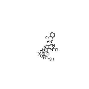 CC1(C)O[C@@H]2[C@H](O1)[C@@H](CS)O[C@H]2n1ncc2c(NCc3ccccc3Cl)nc(Cl)nc21